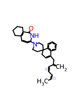 C=C(/C=C\C=C/C)CC1=CCC2(CCN(C3=C=CC4=C(CCCC4)C(=O)N3)CC2)c2ccccc21